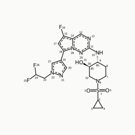 O=S(=O)(C1CC1)N1CC[C@@H](Nc2ncc3c(F)cc(-c4cnn(CC(F)F)c4)n3n2)[C@H](O)C1